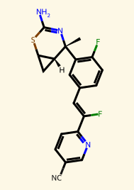 C[C@]1(c2cc(/C=C(\F)c3ccc(C#N)cn3)ccc2F)N=C(N)SC2C[C@H]21